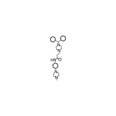 CN1CCN(c2ccc(NC(=O)CCN3CCN(C(c4ccccc4)c4ccccc4)CC3)cc2)CC1